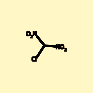 O=[N+]([O-])C(Cl)[N+](=O)[O-]